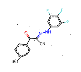 CC(C)(C)c1ccc(C(=O)/C(C#N)=N/Nc2cc(F)c(F)c(F)c2)cc1